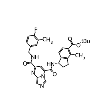 Cc1cc(CNC(=O)c2cc(C(=O)N[C@H]3CCc4c3ccc(C(=O)OC(C)(C)C)c4C)n3cncc3n2)ccc1F